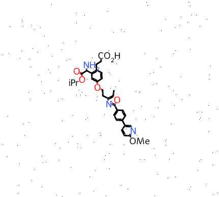 COc1ccc(-c2ccc(-c3nc(CCOc4ccc(CCC(=O)O)c(C(N)C(=O)OC(C)C)c4)c(C)o3)cc2)cn1